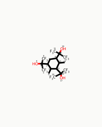 CC1C(C(O)(C(F)(F)F)C(F)(F)F)CC(C(O)(C(F)(F)F)C(F)(F)F)C(C)C1C(O)(C(F)(F)F)C(F)(F)F